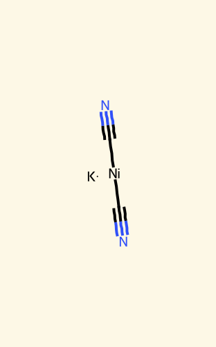 N#[C][Ni][C]#N.[K]